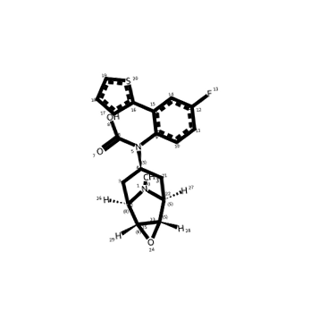 CN1[C@@H]2C[C@@H](N(C(=O)O)c3ccc(F)cc3-c3cccs3)C[C@H]1[C@@H]1O[C@@H]12